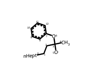 CCCCCCCCCC(C)([O])Oc1ccccc1